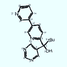 CC(C)(C)C(O)(c1cncnc1)c1ccc(-c2cccnc2)cn1